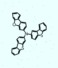 c1ccc2c(c1)oc1cc(N(c3ccc4c(c3)sc3ccccc34)c3ccc4sc5ccccc5c4c3)ccc12